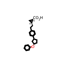 O=C(O)[C@H]1C[C@@H]1CCc1ccc(C2CC[C@H](Oc3ccccc3)C2)cc1